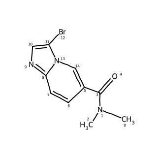 CN(C)C(=O)c1ccc2ncc(Br)n2c1